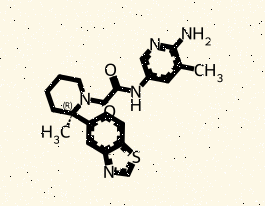 Cc1cc(NC(=O)C(=O)N2CCCC[C@]2(C)c2ccc3scnc3c2)cnc1N